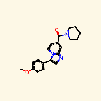 COc1ccc(-c2cnc3cc(C(=O)N4CCCCC4)ccn23)cc1